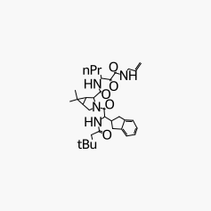 C=CCNC(=O)C(=O)C(CCC)NC(=O)C1C2C(CN1C(=O)C(NC(=O)CC(C)(C)C)C1Cc3ccccc3C1)C2(C)C